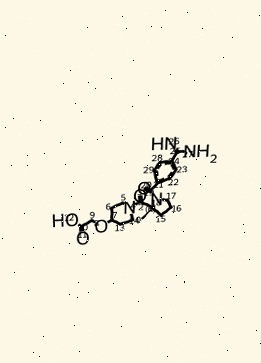 C[C@]1(C(=O)N2CCC(OCC(=O)O)CC2)CCCN1C(=O)c1ccc(C(=N)N)cc1